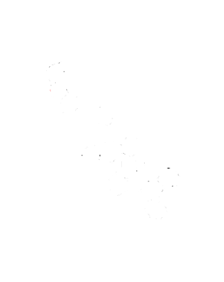 CC1(C)c2c(-c3c4ccccc4c(-c4cccc(-c5ccc6oc7ccccc7c6c5)c4)c4ccccc34)cccc2-c2c1c1ccccc1c1ccccc21